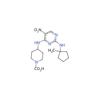 CC1(Nc2ncc([N+](=O)[O-])c(NC3CCN(C(=O)O)CC3)n2)CCCC1